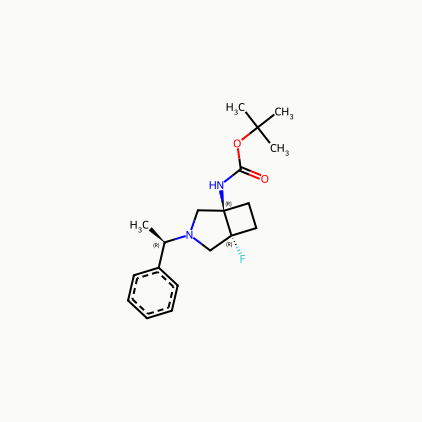 C[C@H](c1ccccc1)N1C[C@]2(F)CC[C@@]2(NC(=O)OC(C)(C)C)C1